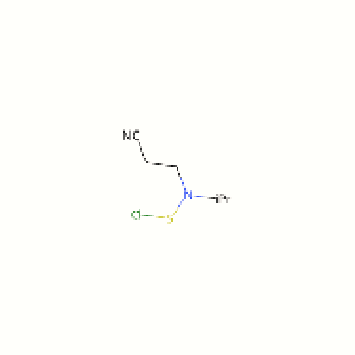 CC(C)N(CCC#N)SCl